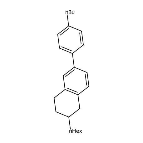 CCCCCCC1CCc2cc(-c3ccc(CCCC)cc3)ccc2C1